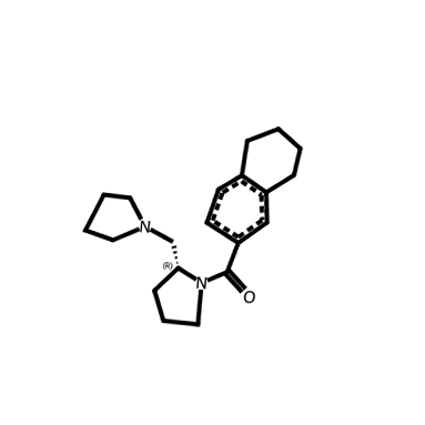 O=C(c1ccc2c(c1)CCCC2)N1CCC[C@@H]1CN1CCCC1